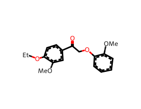 CCOc1ccc(C(=O)COc2ccccc2OC)cc1OC